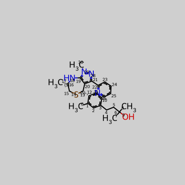 Cc1cc(CCC(C)(C)O)ccc1[C@@H]1SC[C@H](C)Nc2c1c(-c1ccccn1)nn2C